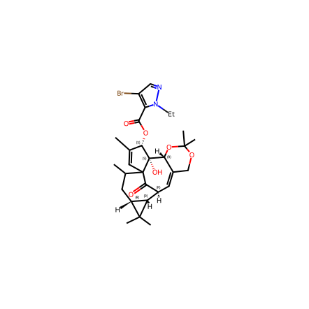 CCn1ncc(Br)c1C(=O)O[C@H]1C(C)=CC23C(=O)[C@@H](C=C4COC(C)(C)O[C@H]4[C@]12O)[C@H]1[C@@H](CC3C)C1(C)C